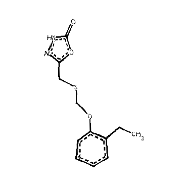 CCc1ccccc1OCSCc1n[nH]c(=O)o1